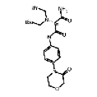 CC(C)CN(CC(C)(C)C)[C@H](C(N)=O)C(=O)Nc1ccc(N2CCOCC2=O)cc1